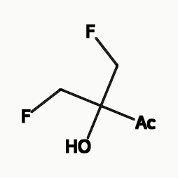 CC(=O)C(O)(CF)CF